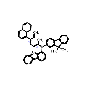 C=C/C(=C\C=C(/C)N(c1ccc2c(c1)C(C)(C)c1ccccc1-2)c1cccc2c1oc1ccccc12)C1=CC=CC2C=CC=CC12